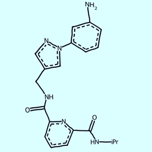 CC(C)NC(=O)c1cccc(C(=O)NCc2cnn(-c3cccc(N)c3)c2)n1